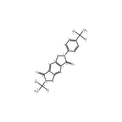 CCC(C)(CC)c1ccc(N2Cc3cc4c(cc3C2=O)CN(C(C)(CC)CC)C4=O)cc1